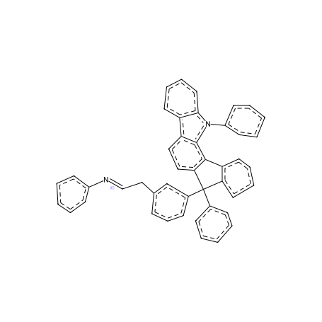 C(/Cc1cccc(C2(c3ccccc3)c3ccccc3-c3c2ccc2c4ccccc4n(-c4ccccc4)c32)c1)=N\c1ccccc1